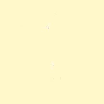 Cc1cccc(S(C)(=O)=Nc2ccccc2C#Cc2ccc(C(=O)O)nc2)c1